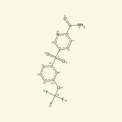 NC(=O)c1ccc(S(=O)(=O)c2cccc(OC(F)(F)F)c2)cn1